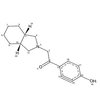 O=C(CN1C[C@H]2CCCC[C@H]2C1)c1c#cc(O)cc1